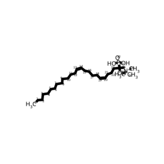 CCCCCCCCCCCCC/C=C\CCCC/C=C\CCCC(O)(C[N+](C)(C)C)P(=O)(O)O